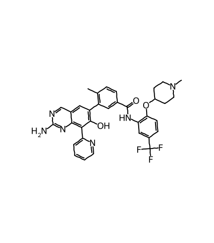 Cc1ccc(C(=O)Nc2cc(C(F)(F)F)ccc2OC2CCN(C)CC2)cc1-c1cc2cnc(N)nc2c(-c2ccccn2)c1O